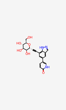 O=c1ccc(-c2cc(C#C[C@H]3O[C@H](CO)[C@@H](O)[C@H](O)[C@@H]3O)c3[nH]ncc3c2)c[nH]1